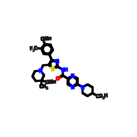 COc1ccc(-c2nc(NC(=O)c3cnc(N4CCC(C(=O)O)CC4)cn3)sc2CN2CCCC(C)(OC)C2)cc1C(F)(F)F